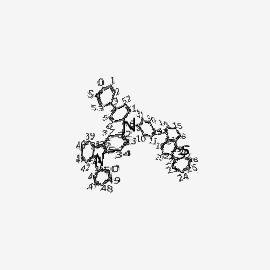 c1ccc(-c2ccc(N(c3ccc(-c4cccc5c4ccc4c6ccccc6sc54)cc3)c3ccc4c(c3)c3ccccc3n4-c3ccccc3)cc2)cc1